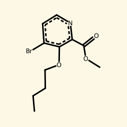 CCCCOc1c(Br)ccnc1C(=O)OC